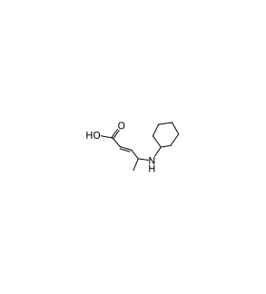 CC(C=CC(=O)O)NC1CCCCC1